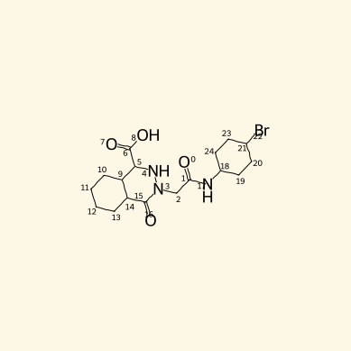 O=C(CN1NC(C(=O)O)C2CCCCC2C1=O)NC1CCC(Br)CC1